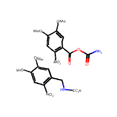 COc1cc(C(=O)OC(N)=O)c([N+](=O)[O-])cc1OC.COc1cc(CNC(=O)O)c([N+](=O)[O-])cc1OC